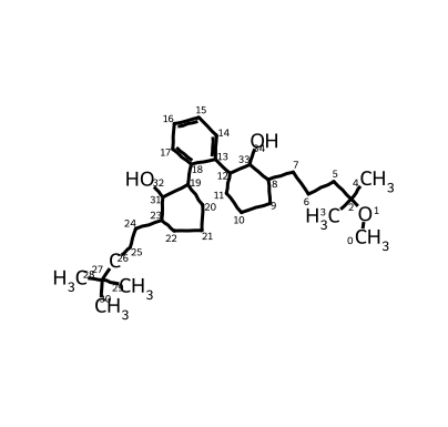 COC(C)(C)CCCC1CCCC(c2ccccc2C2CCCC(CCCC(C)(C)C)C2O)C1O